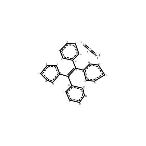 N=C=S.c1ccc(C(=C(c2ccccc2)c2ccccc2)c2ccccc2)cc1